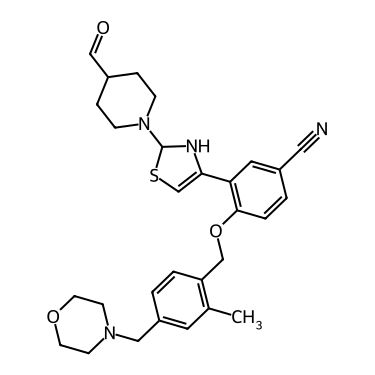 Cc1cc(CN2CCOCC2)ccc1COc1ccc(C#N)cc1C1=CSC(N2CCC(C=O)CC2)N1